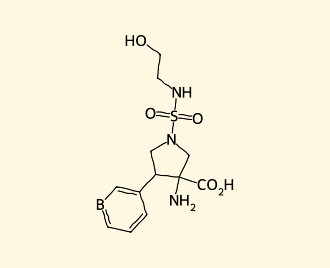 NC1(C(=O)O)CN(S(=O)(=O)NCCO)CC1c1cbccc1